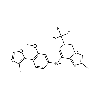 COc1cc(NC2=CN(C(F)(F)F)C[N+]3C=C(C)N=C23)ccc1-c1ocnc1C